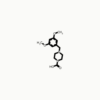 COc1cc(CN2CCN(C(=O)O)CC2)cc(OC)c1